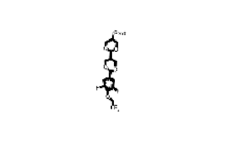 CCCCCC1COC(C2COC(c3cc(F)c(OCC(F)(F)F)c(F)c3)OC2)OC1